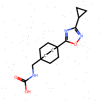 O=C(O)NCC12CCC(c3nc(C4CC4)no3)(CC1)CC2